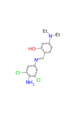 CCN(CC)c1ccc(C=Nc2cc(Cl)c(N)c(Cl)c2)c(O)c1